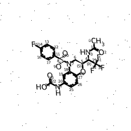 CC(=O)N[C@H]([C@@H]1CN(S(=O)(=O)c2ccc(F)cc2)c2cc(NC(=O)O)ccc2O1)C(F)(F)F